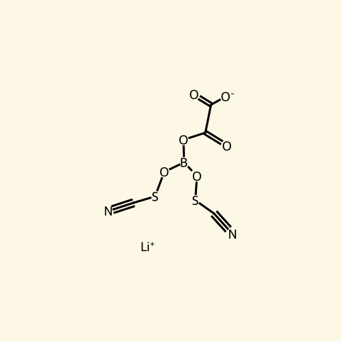 N#CSOB(OSC#N)OC(=O)C(=O)[O-].[Li+]